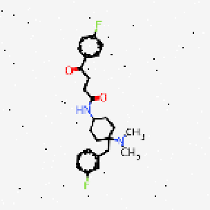 CN(C)C1(Cc2cccc(F)c2)CCC(NC(=O)CCC(=O)c2ccc(F)cc2)CC1